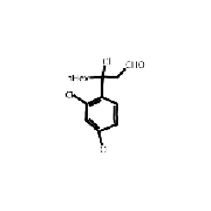 CCCCCCC(Cl)(CC=O)c1ccc(Cl)cc1Cl